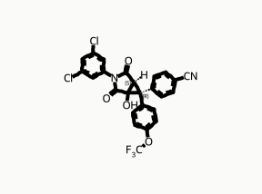 N#Cc1ccc([C@@]2(c3ccc(OC(F)(F)F)cc3)[C@@H]3C(=O)N(c4cc(Cl)cc(Cl)c4)C(=O)C32O)cc1